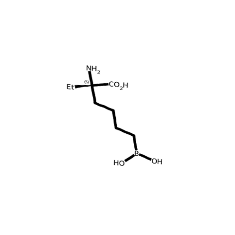 [CH2]C[C@](N)(CCCCB(O)O)C(=O)O